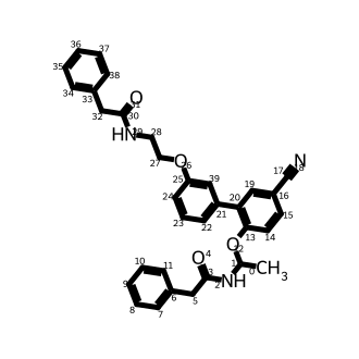 CC(NC(=O)Cc1ccccc1)Oc1ccc(C#N)cc1-c1cccc(OCCNC(=O)Cc2ccccc2)c1